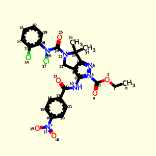 CCOC(=O)n1nc2c(c1NC(=O)c1ccc([N+](=O)[O-])cc1)CN(C(=O)N(Cl)c1ccccc1Cl)C2(C)C